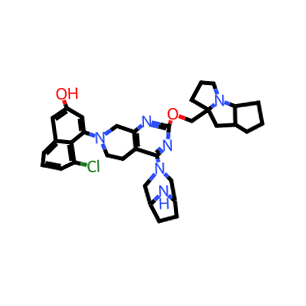 Oc1cc(N2CCc3c(nc(OCC45CCCN4C4CCCC4C5)nc3N3CC4CCC(C3)N4)C2)c2c(Cl)cccc2c1